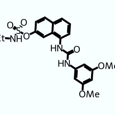 CCNS(=O)(=O)Oc1ccc2cccc(NC(=O)Nc3cc(OC)cc(OC)c3)c2c1